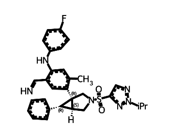 Cc1cc(Nc2ccc(F)cc2)c(C=N)cc1[C@]12CN(S(=O)(=O)c3cnn(C(C)C)n3)C[C@H]1[C@@H]2c1ccccc1